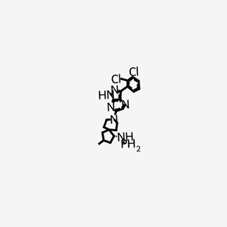 CC1C[C@@H](NP)C2(CCN(c3cnc4c(-c5cccc(Cl)c5Cl)n[nH]c4n3)CC2)C1